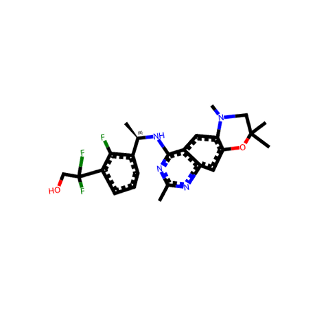 Cc1nc(N[C@H](C)c2cccc(C(F)(F)CO)c2F)c2cc3c(cc2n1)OC(C)(C)CN3C